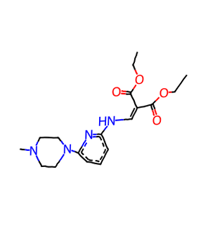 CCOC(=O)C(=CNc1cccc(N2CCN(C)CC2)n1)C(=O)OCC